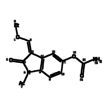 CCOC=C1C(=O)N(C(C)=O)c2ccc(OC(N)=O)cc21